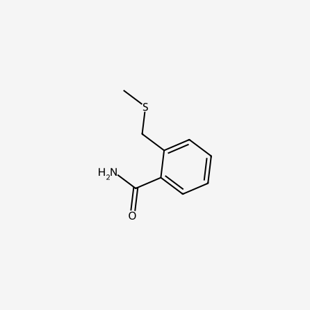 CSCc1ccccc1C(N)=O